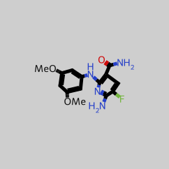 COc1cc(Nc2nc(N)c(F)cc2C(N)=O)cc(OC)c1